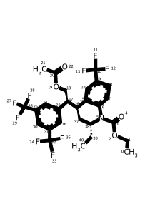 CCOC(=O)N1c2ccc(C(F)(F)F)cc2[C@H]([C@H](COC(C)=O)c2cc(C(F)(F)F)cc(C(F)(F)F)c2)C[C@H]1CC